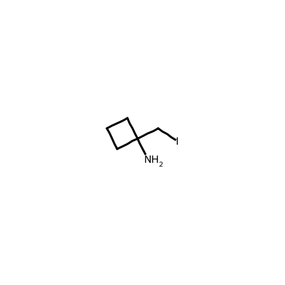 NC1(CI)CCC1